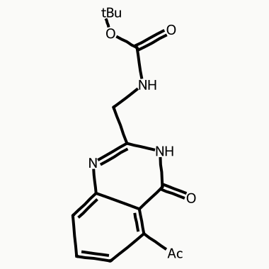 CC(=O)c1cccc2nc(CNC(=O)OC(C)(C)C)[nH]c(=O)c12